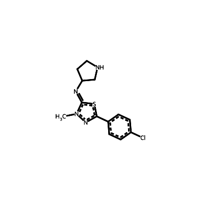 Cn1nc(-c2ccc(Cl)cc2)sc1=NC1CCNC1